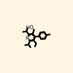 CCc1c(C(C)C)nc(C(C)C)c(CO)c1-c1ccc(C)cc1